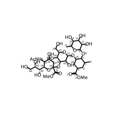 COC(=O)C1CC(C)C(OC2OC(C)C(O)C(O)C2O)C(OC2OC(CO)C(O)C(OC3(C(=O)OC)CC(O)C(NC(C)=O)C([C@H](O)[C@H](O)CO)O3)C2O)C1